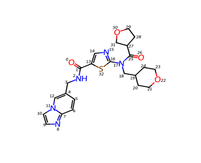 O=C(NCc1ccc2nccn2c1)c1cnc(N(CC2CCOCC2)C(=O)C2CCOC2)s1